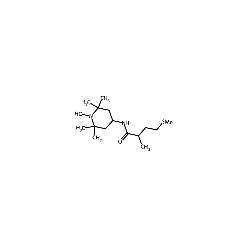 CSCCC(C)C(=O)NC1CC(C)(C)N(O)C(C)(C)C1